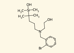 CC(C)(CCCN(CCO)Cc1ccccc1Br)[Si](C)(C)O